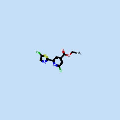 CCOC(=O)c1cc(Cl)nc(-c2ncc(Cl)s2)c1